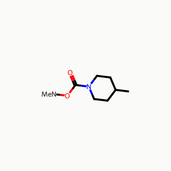 CNOC(=O)N1CCC(C)CC1